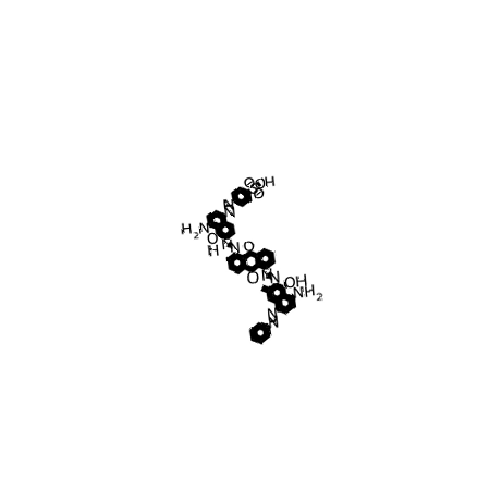 Cc1cc2c(N=Nc3ccccc3)ccc(N)c2c(O)c1N=Nc1cccc2c1C(=O)c1cccc(N=Nc3ccc4c(N=Nc5ccc(S(=O)(=O)O)cc5)ccc(N)c4c3O)c1C2=O